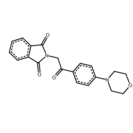 O=C(CN1C(=O)c2ccccc2C1=O)c1ccc(N2CCOCC2)cc1